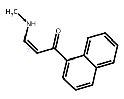 CN/C=C\C(=O)c1cccc2ccccc12